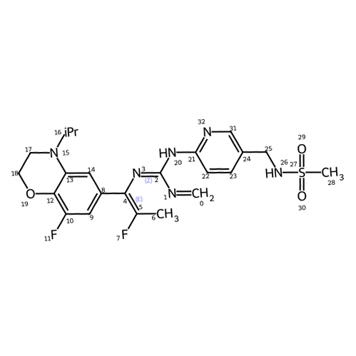 C=N/C(=N\C(=C(/C)F)c1cc(F)c2c(c1)N(C(C)C)CCO2)Nc1ccc(CNS(C)(=O)=O)cn1